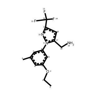 CCOc1cc(C)cc(-n2nc(C(F)(F)F)cc2CN)c1